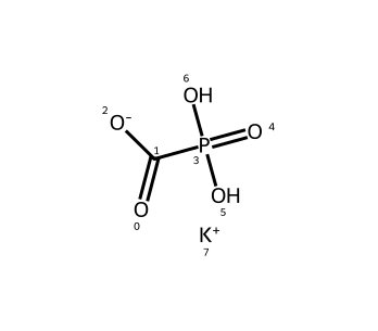 O=C([O-])P(=O)(O)O.[K+]